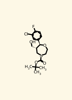 CC(C)(C)OC(=O)N1CCO[C@H](c2ccc(F)c(Cl)c2)[C@@H](CO)C1